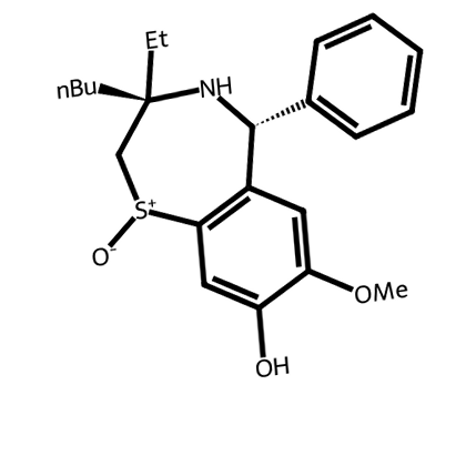 CCCC[C@]1(CC)C[S+]([O-])c2cc(O)c(OC)cc2[C@@H](c2ccccc2)N1